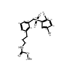 CC(C)(C)OC(=O)NCCCc1cccc(CS(=O)(=O)c2cc(Br)ccc2F)c1